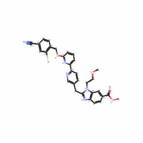 COCCn1c(Cc2ccc(-c3cccc(OCc4ccc(C#N)cc4F)n3)nc2)nc2ccc(C(=O)OC)cc21